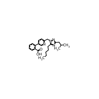 CCCCCc1nc(CC(C)C)nn1Cc1ccc(-c2ccccc2C(=O)O)cn1